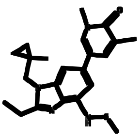 CCc1nc2c(NSC)cc(-c3cc(C)c(=O)n(C)c3)cc2n1CC1(C)CC1